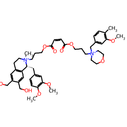 COc1cc(C[N+]2(CCCOC(=O)/C=C\C(=O)OCCC[N@+]3(C)CCc4cc(CO)c(CO)cc4[C@H]3Cc3ccc(OC)c(OC)c3)CCOCC2)ccc1C